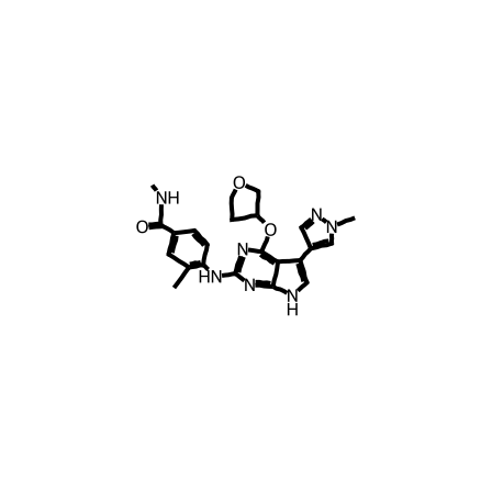 CNC(=O)c1ccc(Nc2nc(OC3CCOC3)c3c(-c4cnn(C)c4)c[nH]c3n2)c(C)c1